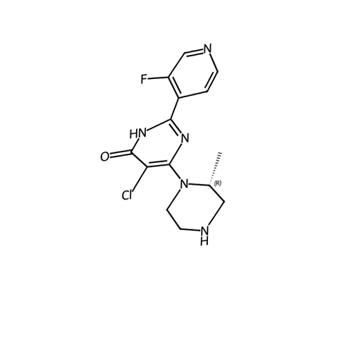 C[C@@H]1CNCCN1c1nc(-c2ccncc2F)[nH]c(=O)c1Cl